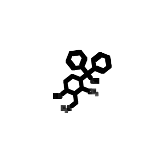 CCC1C(O)CCC(C(O)(c2ccccc2)c2ccccc2)C1C